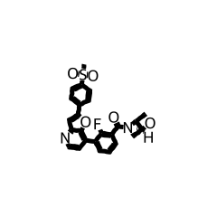 CS(=O)(=O)c1ccc(-c2cc3nccc(-c4cccc(C(=O)N5C[C@H]6OCC65)c4F)c3o2)cc1